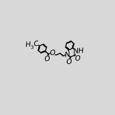 Cc1ccc(C(=O)OCCCn2c(=O)c(=O)[nH]c3ccccc32)cc1